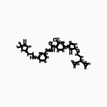 CC1(C)CC(CCNc2cccc(SNC(=O)c3ccc(N4C=CC(OCCC(C5CC5)C5CC5)N4)nc3Cl)n2)CN1